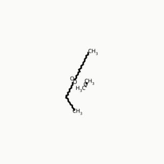 CCCCCCCC/C=C\CCCCCCCCOC(=O)CCCCCCCCCCCCCCCCC.CCOCC